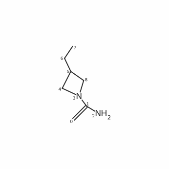 C=C(N)N1CC(CC)C1